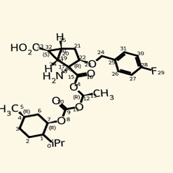 CC(C)C1CC[C@@H](C)C[C@H]1OC(=O)O[C@H](C)OC(=O)[C@@]1(N)[C@H]2[C@@H](C[C@H]1OCc1ccc(F)cc1)[C@@H]2C(=O)O